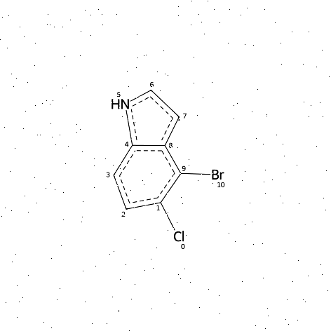 Clc1ccc2[nH]c[c]c2c1Br